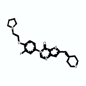 O=c1c2sc(C=C3CCOCC3)cc2ncn1-c1ccc(OCCN2CCCC2)c(F)c1